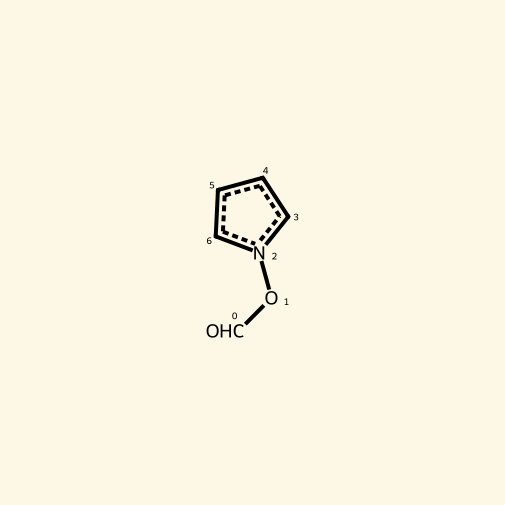 O=COn1cccc1